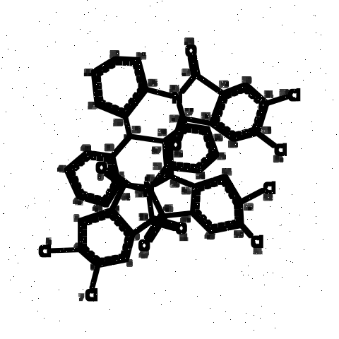 O=C1c2cc(Cl)c(Cl)cc2C(=O)N1c1ccccc1[C](c1ccccc1N1C(=O)c2cc(Cl)c(Cl)cc2C1=O)c1ccccc1N1C(=O)c2cc(Cl)c(Cl)cc2C1=O